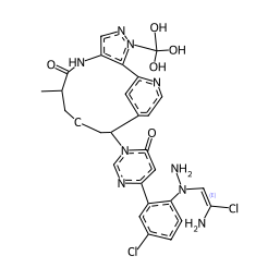 CC1CCCC(n2cnc(-c3cc(Cl)ccc3N(N)/C=C(\N)Cl)cc2=O)c2ccnc(c2)-c2c(cnn2C(O)(O)O)NC1=O